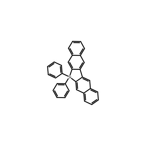 c1ccc([Si]2(c3ccccc3)c3cc4ccccc4cc3-c3cc4ccccc4cc32)cc1